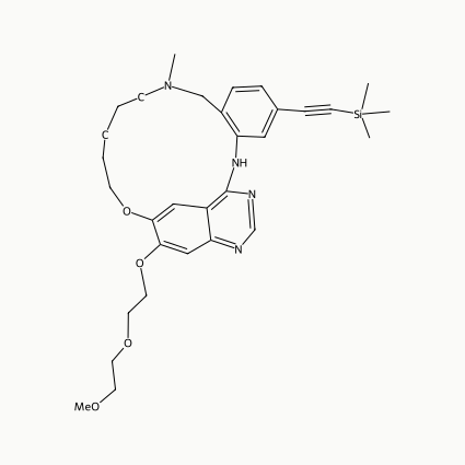 COCCOCCOc1cc2ncnc3c2cc1OCCCCCN(C)Cc1ccc(C#C[Si](C)(C)C)cc1N3